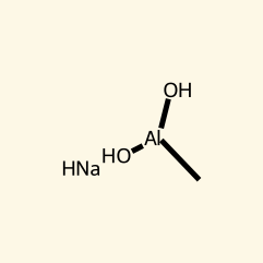 [CH3][Al]([OH])[OH].[NaH]